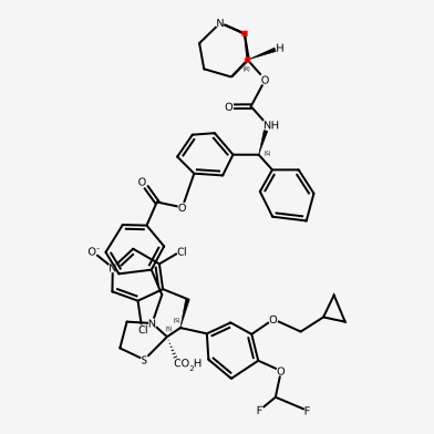 O=C(N[C@@H](c1ccccc1)c1cccc(OC(=O)c2cccc(CN3CCS[C@]3(C(=O)O)[C@@H](Cc3c(Cl)c[n+]([O-])cc3Cl)c3ccc(OC(F)F)c(OCC4CC4)c3)c2)c1)O[C@H]1CN2CCC1CC2